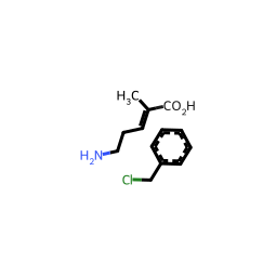 CC(=CCCN)C(=O)O.ClCc1ccccc1